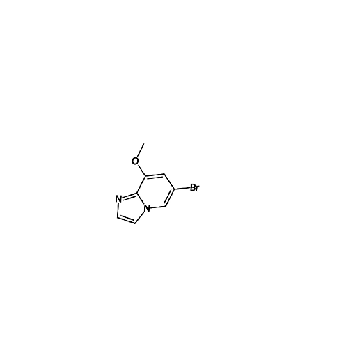 COc1cc(Br)cn2ccnc12